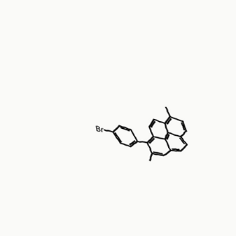 Cc1cc2ccc3ccc(C)c4ccc(c1-c1ccc(Br)cc1)c2c34